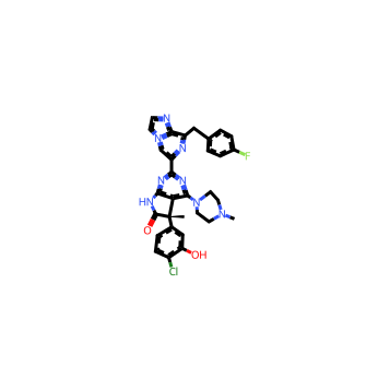 CN1CCN(c2nc(-c3cn4ccnc4c(Cc4ccc(F)cc4)n3)nc3c2[C@](C)(c2ccc(Cl)c(O)c2)C(=O)N3)CC1